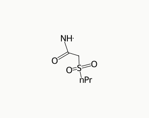 CCCS(=O)(=O)CC([NH])=O